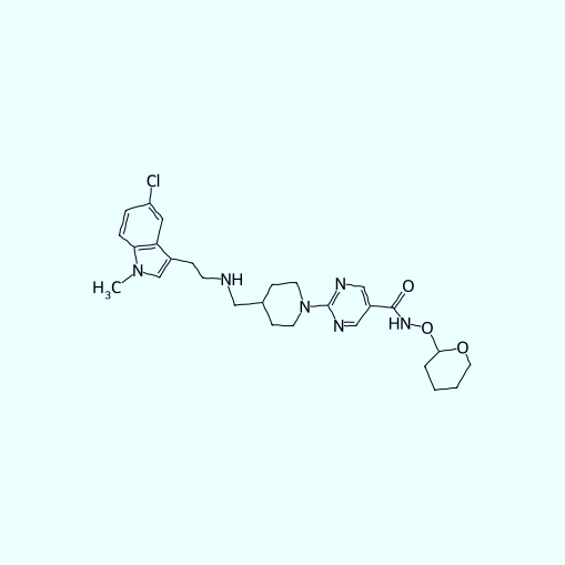 Cn1cc(CCNCC2CCN(c3ncc(C(=O)NOC4CCCCO4)cn3)CC2)c2cc(Cl)ccc21